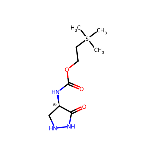 C[Si](C)(C)CCOC(=O)N[C@@H]1CNNC1=O